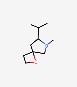 CC(C)C1CC2(CCO2)CN1C